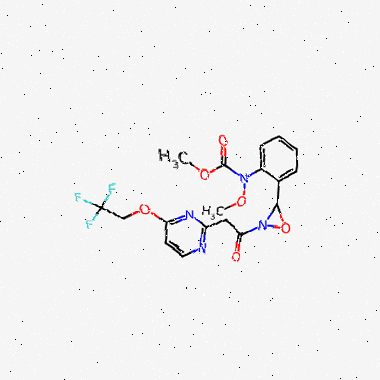 COC(=O)N(OC)c1ccccc1C1ON1C(=O)Cc1nccc(OCC(F)(F)F)n1